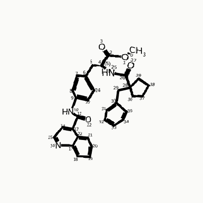 COC(=O)[C@H](Cc1ccc(NC(=O)c2ccnc3ccccc23)cc1)NC(=O)C1(Cc2ccccc2)CCCC1